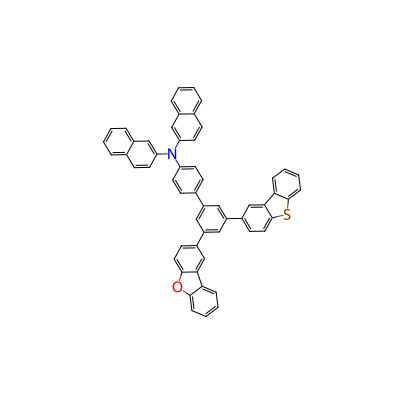 c1ccc2cc(N(c3ccc(-c4cc(-c5ccc6oc7ccccc7c6c5)cc(-c5ccc6sc7ccccc7c6c5)c4)cc3)c3ccc4ccccc4c3)ccc2c1